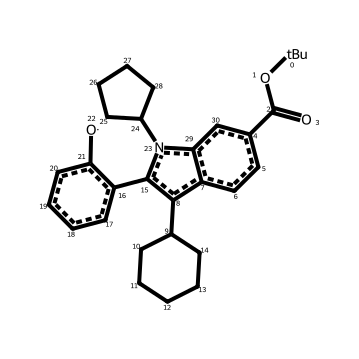 CC(C)(C)OC(=O)c1ccc2c(C3CCCCC3)c(-c3ccccc3[O])n(C3CCCC3)c2c1